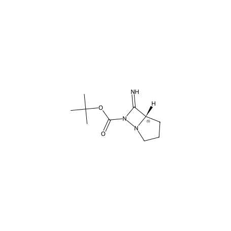 CC(C)(C)OC(=O)N1C(=N)[C@@H]2CCCN21